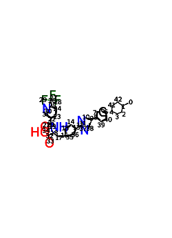 C[C@H]1CC[C@H](c2ccc(-c3cnc(-c4ccc(C[C@H](NC(=O)c5ccc(C(F)(F)F)nc5)C(=O)O)cc4)nc3)cc2)CC1